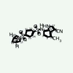 Cc1ccc(NS(=O)(=O)c2ccc(S(=O)(=O)N3C[C@H]4C[C@@H](C3)N4)cc2)c2[nH]cc(C#N)c12